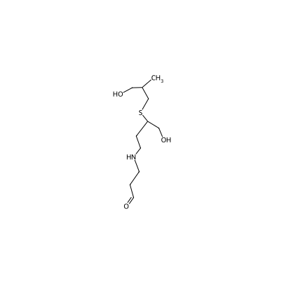 CC(CO)CSC(CO)CCNCCC=O